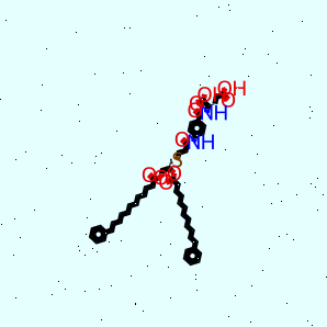 O=C(O)CC[C@H](NC(=O)c1ccc(NC(=O)CCSC[C@@H](COC(=O)CCCCCCCCCCCc2ccccc2)OC(=O)CCCCCCCCCCCc2ccccc2)cc1)C(=O)O